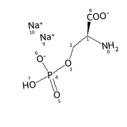 N[C@@H](COP(=O)([O-])O)C(=O)[O-].[Na+].[Na+]